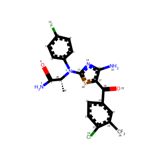 C[C@H](C(N)=O)N(c1ccc(F)cc1)c1nc(N)c(C(=O)c2ccc(Cl)c(C(F)(F)F)c2)s1